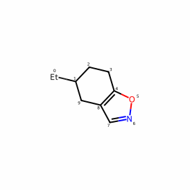 CCC1CCc2oncc2C1